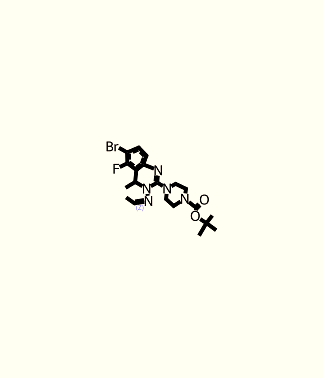 C/C=N\N1C(N2CCN(C(=O)OC(C)(C)C)CC2)=Nc2ccc(Br)c(F)c2C1C